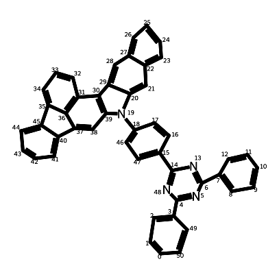 c1ccc(-c2nc(-c3ccccc3)nc(-c3ccc(-n4c5cc6ccccc6cc5c5c6cccc7c6c(cc54)-c4ccccc4-7)cc3)n2)cc1